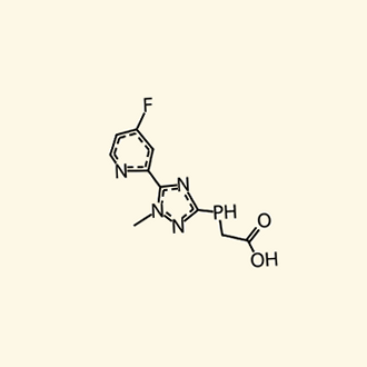 Cn1nc(PCC(=O)O)nc1-c1cc(F)ccn1